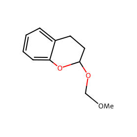 COCOC1CCc2ccccc2O1